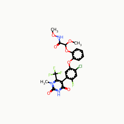 CONC(=O)C(OC)Oc1ccccc1Oc1cc(-c2c(C(F)(F)F)n(C)c(=O)[nH]c2=O)c(F)cc1Cl